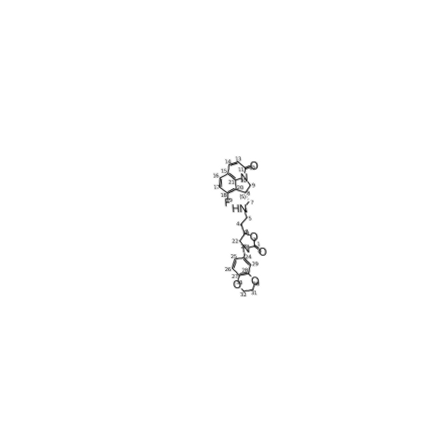 O=C1O[C@H](CCNC[C@H]2Cn3c(=O)ccc4ccc(F)c2c43)CN1c1ccc2c(c1)OCCO2